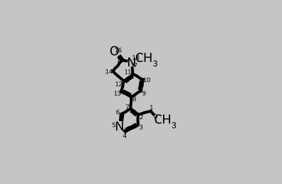 CCc1ccncc1-c1ccc2c(c1)CC(=O)N2C